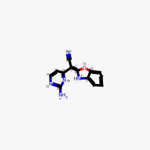 N#C/C(=C1/Nc2ccccc2O1)c1ccnc(N)n1